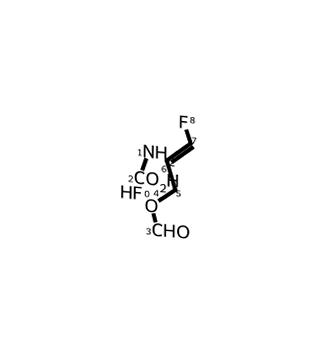 F.NC(=O)O.O=COCC=CF